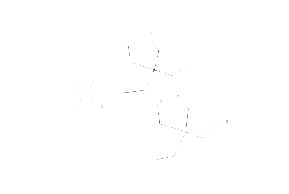 O=P(O)(O)O.OCC(CO)(CO)CO.OCC(CO)(CO)CO